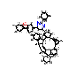 CC12c3cc(C4=NC(c5ccccc5)=NC(c5ccc6c(c5)oc5ccccc56)C4)ccc3-c3cccc(c3)-c3cccc4c3C3=CC1C(C=C3C41CCCCC1)c1ccccc12